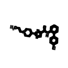 CCCN1CCC(c2nc(C(=O)Nc3ccccc3-c3ccc(Cl)cc3)cs2)CC1